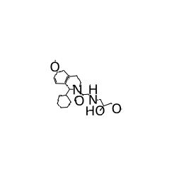 COC[C@@H](O)CNCC(=O)N1CCc2cc(OC)ccc2C1C1CCCCC1